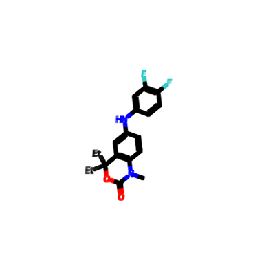 CCC1(CC)OC(=O)N(C)c2ccc(Nc3ccc(F)c(F)c3)cc21